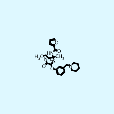 CCCC(C)(NC(=O)c1ccco1)SC(Oc1cccc(CN2CCCCC2)c1)C(N)=O